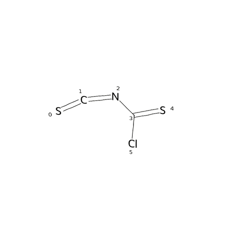 S=C=NC(=S)Cl